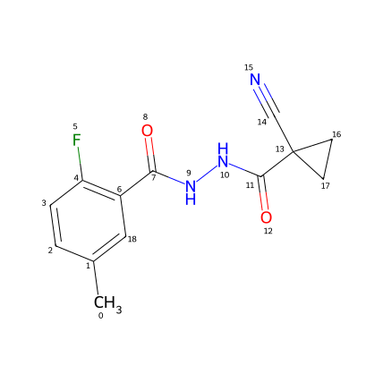 Cc1ccc(F)c(C(=O)NNC(=O)C2(C#N)CC2)c1